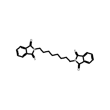 O=C1c2ccccc2C(=S)N1CCCCCCCCN1C(=O)c2ccccc2C1=S